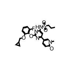 CCCS(=O)(=O)Nc1cc(-c2ccc(=O)n(C)c2)nc(Oc2c(F)cccc2OCC2CC2)n1